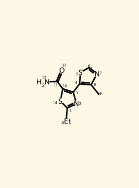 CCc1nc(-c2s[c]nc2C)c(C(N)=O)s1